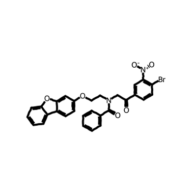 O=C(CN(CCOc1ccc2c(c1)oc1ccccc12)C(=O)c1ccccc1)c1ccc(Br)c([N+](=O)[O-])c1